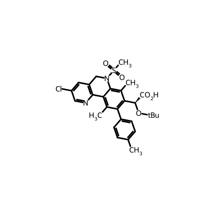 Cc1ccc(-c2c(C)c3c(c(C)c2[C@H](OC(C)(C)C)C(=O)O)N(S(C)(=O)=O)Cc2cc(Cl)cnc2-3)cc1